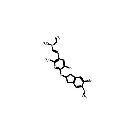 CCN(C)/C=N/c1cc(Br)c(OC2Cc3cc(Br)c(OC)cc3C2)nc1C